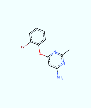 Cc1nc(N)cc(Oc2ccccc2Br)n1